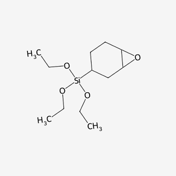 CCO[Si](OCC)(OCC)C1CCC2OC2C1